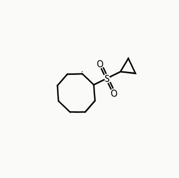 O=S(=O)(C1[CH]CCCCCC1)C1CC1